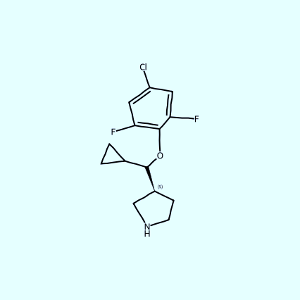 Fc1cc(Cl)cc(F)c1OC(C1CC1)[C@H]1CCNC1